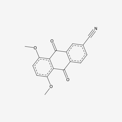 COc1ccc(OC)c2c1C(=O)c1ccc(C#N)cc1C2=O